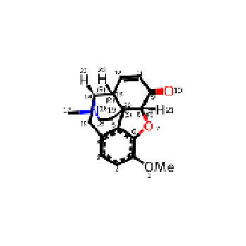 COc1ccc2c3c1O[C@H]1C(=O)C=C[C@H]4[C@@H](C2)N(C)CC[C@]314